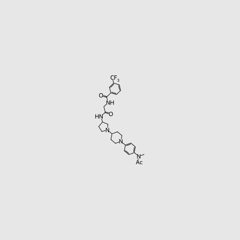 CC(=O)N(C)c1ccc(N2CCC(N3CCC(NC(=O)CNC(=O)c4cccc(C(F)(F)F)c4)C3)CC2)cc1